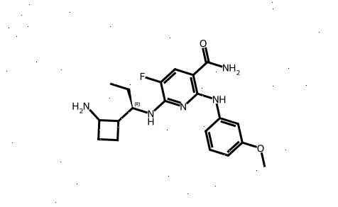 CC[C@@H](Nc1nc(Nc2cccc(OC)c2)c(C(N)=O)cc1F)C1CCC1N